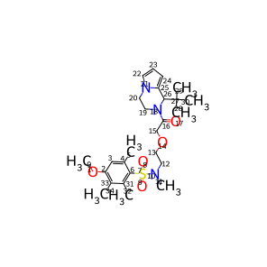 COc1cc(C)c(S(=O)(=O)N(C)CCOCC(=O)N2CCn3cccc3C2C(C)(C)C)c(C)c1C